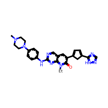 CCn1c(=O)c(C2=CC=C(c3ncn[nH]3)C2)cc2cnc(Nc3ccc(N4CCN(C)CC4)cc3)nc21